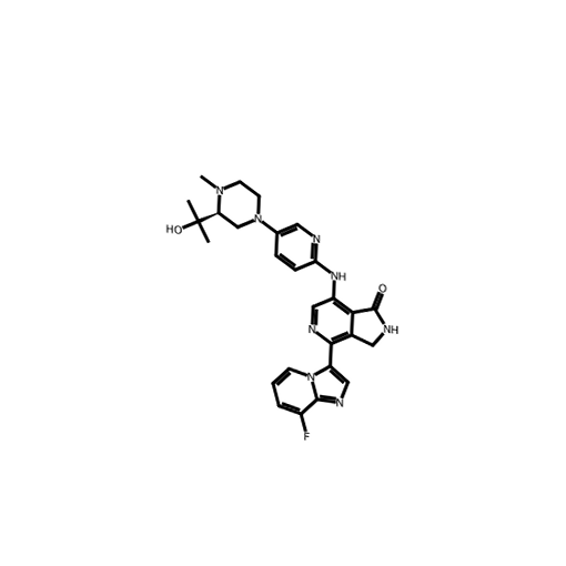 CN1CCN(c2ccc(Nc3cnc(-c4cnc5c(F)cccn45)c4c3C(=O)NC4)nc2)C[C@H]1C(C)(C)O